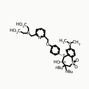 CCCCC1(CCCC)CS(=O)(=O)c2ccc(N(C)C)cc2[C@@H](c2ccc(OCc3cccc(CN(CC(=O)O)CC(=O)O)n3)cc2)[C@H]1O